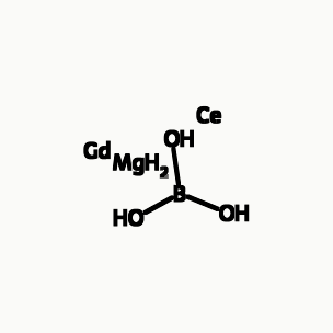 OB(O)O.[Ce].[Gd].[MgH2]